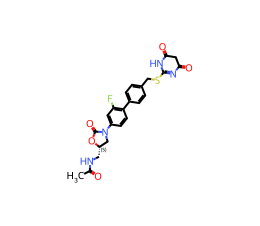 CC(=O)NC[C@H]1CN(c2ccc(-c3ccc(CSC4=NC(=O)CC(=O)N4)cc3)c(F)c2)C(=O)O1